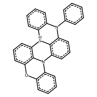 c1ccc(N2c3ccccc3[SH]3c4cccc5c4N(c4ccccc4O5)c4cccc2c43)cc1